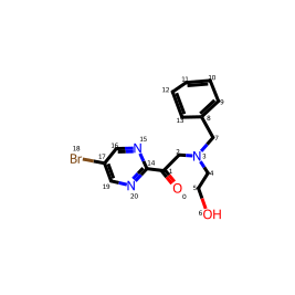 O=C(CN(CCO)Cc1ccccc1)c1ncc(Br)cn1